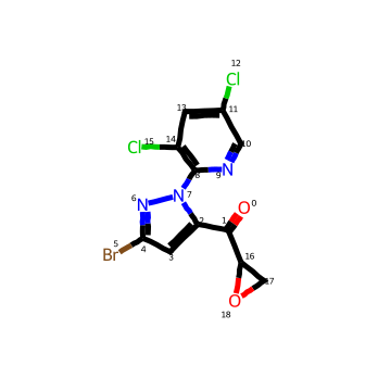 O=C(c1cc(Br)nn1-c1ncc(Cl)cc1Cl)C1CO1